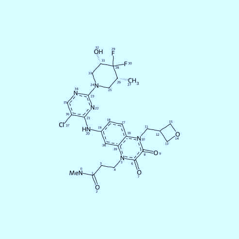 CNC(=O)CCn1c(=O)c(=O)n(CC2COC2)c2ccc(Nc3nc(N4C[C@@H](C)C(F)(F)[C@@H](O)C4)ncc3Cl)cc21